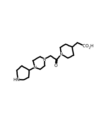 O=C(O)CC1CCN(C(=O)CN2CCN(C3CCNCC3)CC2)CC1